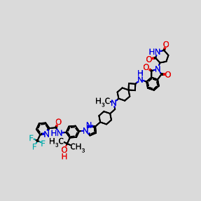 CN(CC1CCC(c2ccn(-c3ccc(NC(=O)c4cccc(C(F)(F)F)n4)c(C(C)(C)O)c3)n2)CC1)C1CCC2(CC1)CC(Nc1cccc3c1C(=O)N(C1CCC(=O)NC1=O)C3=O)C2